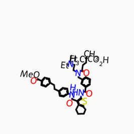 CCN(CC)CCN(Cc1cccc(C(=O)Nc2sc3c(c2C(=O)Nc2ccc(CCc4ccc(C(=O)OC)cc4)cc2)CCCC3)c1)C(=O)CCC(C)(C)C(=O)O